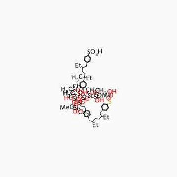 C=C[Si](O)(O)O[Si](CCc1ccc(CC(CC)CCC(CC)Cc2ccc(SOOO)cc2)cc1)(O[Si](O)(C=C)OC)O[Si](CCc1ccc(C(C)(CC)CCC(CC)Cc2ccc(S(=O)(=O)O)cc2)cc1)(O[Si](O)(C=C)C[Si](O)(C=C)OC)O[Si](O)(C=C)O[Si](C)(C)C